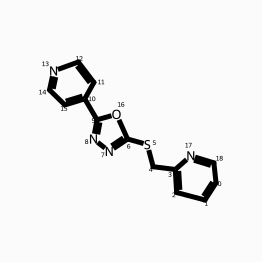 c1ccc(CSc2nnc(-c3ccncc3)o2)nc1